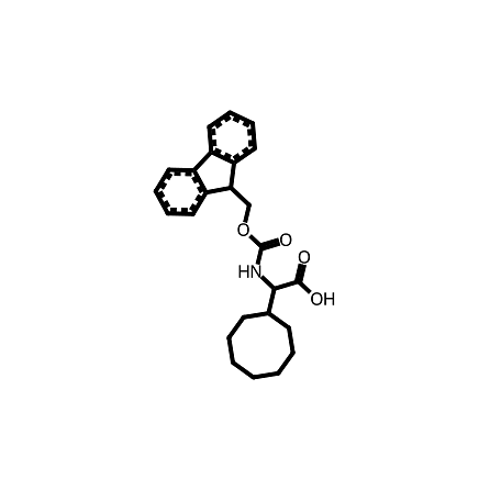 O=C(NC(C(=O)O)C1CCCCCCC1)OCC1c2ccccc2-c2ccccc21